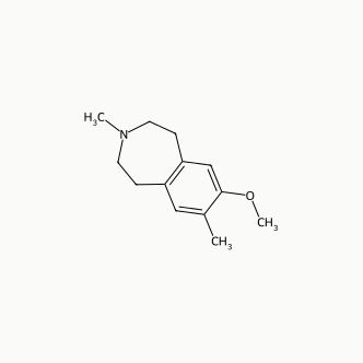 COc1cc2c(cc1C)CCN(C)CC2